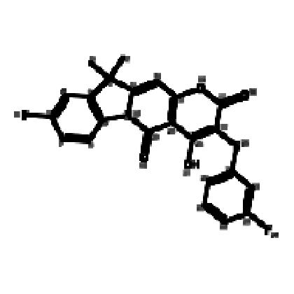 CC1(C)c2cc(F)ccc2-n2c1cc1oc(=O)c(Sc3cccc(F)c3)c(O)c1c2=O